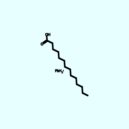 CCCCCCCCCCCCCC(=O)O.[PbH2]